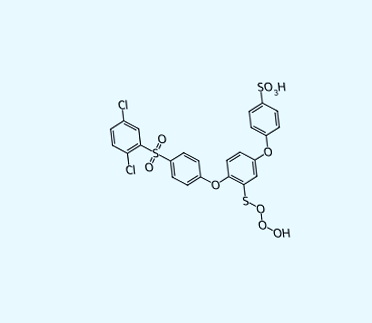 O=S(=O)(O)c1ccc(Oc2ccc(Oc3ccc(S(=O)(=O)c4cc(Cl)ccc4Cl)cc3)c(SOOO)c2)cc1